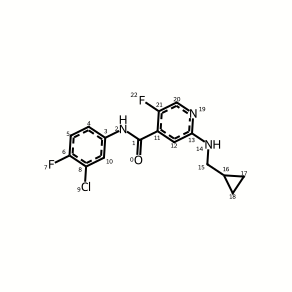 O=C(Nc1ccc(F)c(Cl)c1)c1cc(NCC2CC2)ncc1F